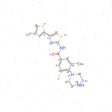 O=C(Nc1nc(-c2cc(Cl)cs2)cs1)c1cc(F)c(N2CCNCC2)c(Cl)c1